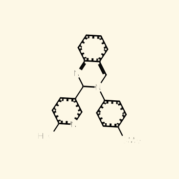 CSc1ccc(N2C=c3ccccc3=NC2c2ccc(C)nc2)cc1